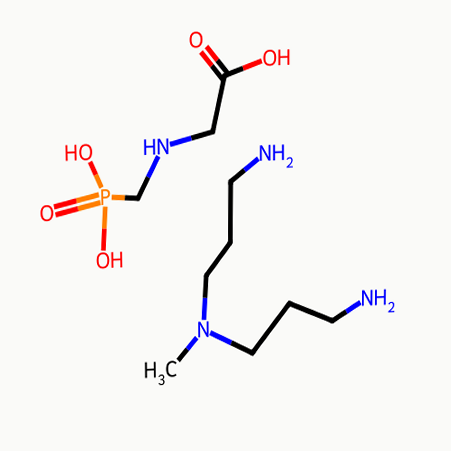 CN(CCCN)CCCN.O=C(O)CNCP(=O)(O)O